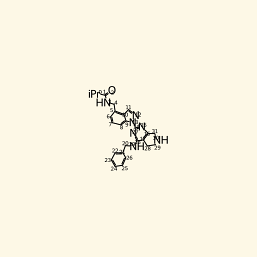 CC(C)C(=O)NCc1cccc2c1cnn2-c1nc2c(c(NCc3ccccc3)n1)CCNC2